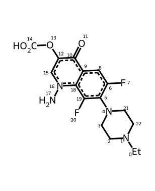 CCN1CCN(c2c(F)cc3c(=O)c(OC(=O)O)cn(N)c3c2F)CC1